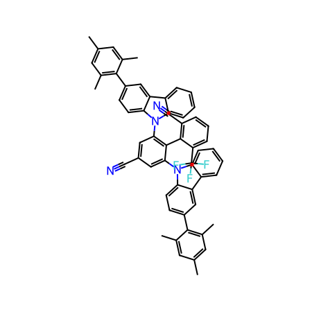 Cc1cc(C)c(-c2ccc3c(c2)c2ccccc2n3-c2cc(C#N)cc(-n3c4ccccc4c4cc(-c5c(C)cc(C)cc5C)ccc43)c2-c2c(C#N)cccc2C(F)(F)F)c(C)c1